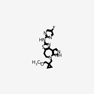 COCC1(CN2CCc3sc(Nc4ncc(F)cn4)nc3-c3cn[nH]c32)CC1